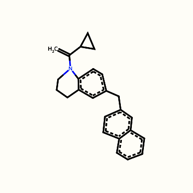 C=C(C1CC1)N1CCCc2cc(Cc3ccc4ccccc4c3)ccc21